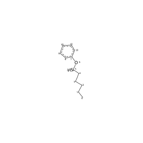 CCCCC[SiH]Oc1ccccc1